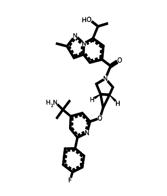 Cc1cc2cc(C(=O)N3C[C@@H]4C(Oc5cc(C(C)(C)N)cc(-c6ccc(F)cc6)n5)[C@@H]4C3)cc(C(C)O)n2n1